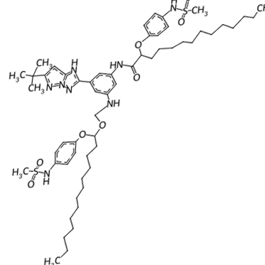 CCCCCCCCCCCCC(OCNc1cc(NC(=O)C(CCCCCCCCCCCC)Oc2ccc(NS(C)(=O)=O)cc2)cc(-c2nn3nc(C(C)(C)C)cc3[nH]2)c1)Oc1ccc(NS(C)(=O)=O)cc1